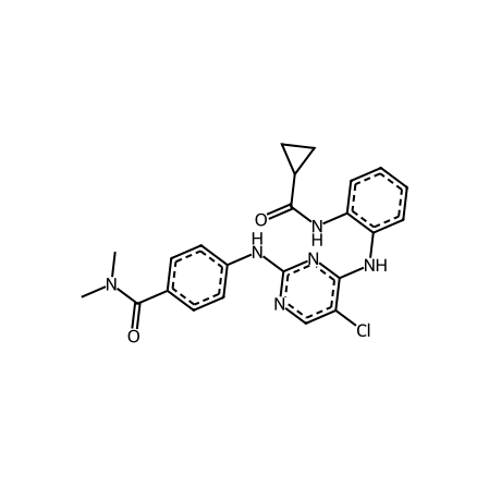 CN(C)C(=O)c1ccc(Nc2ncc(Cl)c(Nc3ccccc3NC(=O)C3CC3)n2)cc1